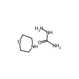 C1COCCN1.NNC(N)=O